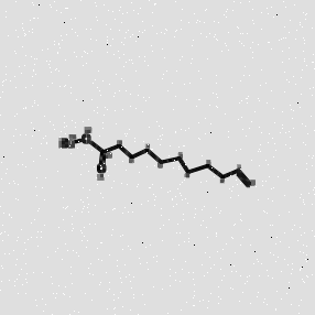 C=CCCCCCCCCC(=O)OC(C)CC